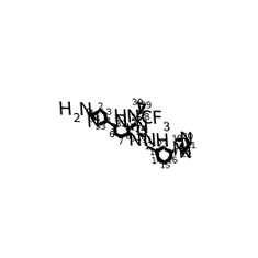 Nc1ccc(-c2ccc3nc(NCc4cccc(-n5cncn5)c4)nc(NC4(C(F)(F)F)CC4)c3n2)cn1